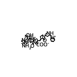 Nc1nc(/C(=N/O)C(=O)N[C@@H]2C(=O)N3C(C(=O)[O-])=C(/C=C4\CCN(C5CNC(C[n+]6ccccc6)C5)C4=O)CS[C@H]23)ns1